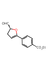 CCOC(=O)c1ccc(C2=CC[C@@H](C=O)O2)cc1